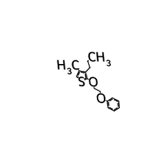 CCCc1c(C)csc1OCCOc1ccccc1